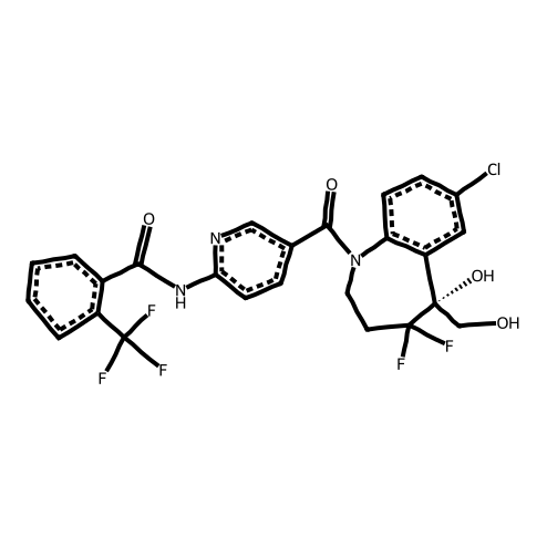 O=C(Nc1ccc(C(=O)N2CCC(F)(F)[C@](O)(CO)c3cc(Cl)ccc32)cn1)c1ccccc1C(F)(F)F